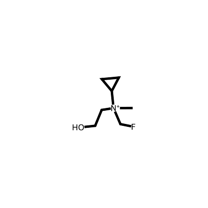 C[N+](CF)(CCO)C1CC1